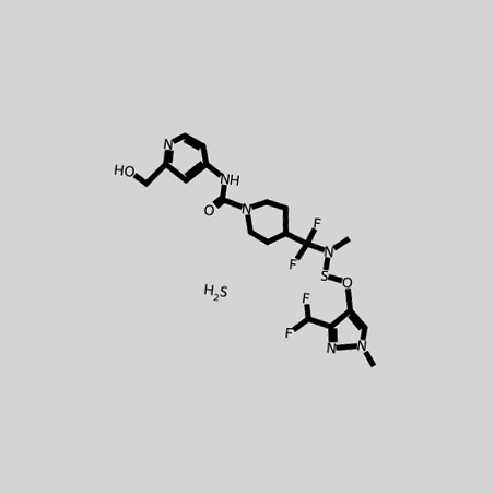 CN(SOc1cn(C)nc1C(F)F)C(F)(F)C1CCN(C(=O)Nc2ccnc(CO)c2)CC1.S